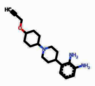 C#CCOC1CCC(N2CCC(c3cccc(N)c3N)CC2)CC1